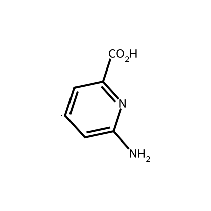 Nc1c[c]cc(C(=O)O)n1